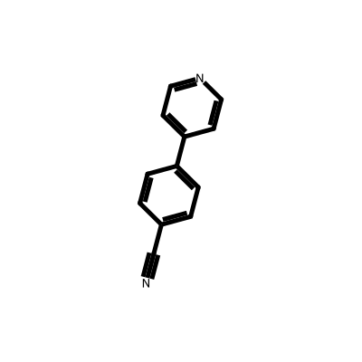 N#Cc1ccc(-c2ccncc2)cc1